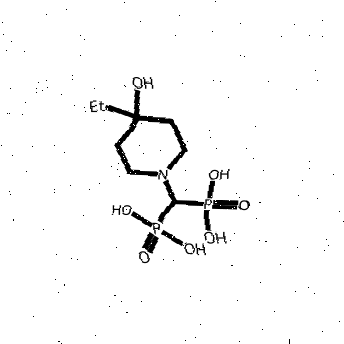 CCC1(O)CCN(C(P(=O)(O)O)P(=O)(O)O)CC1